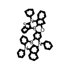 c1ccc(N2c3cc4c(cc3B3c5ccccc5N(c5ccccc5)c5c3c2cc2ccccc52)B2c3c(cc5ccccc5c3N(c3ccccc3)c3sc5ccccc5c32)O4)cc1